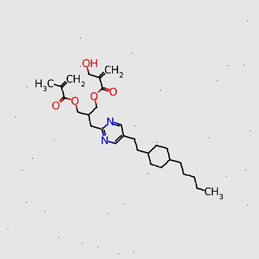 C=C(C)C(=O)OCC(COC(=O)C(=C)CO)Cc1ncc(CCC2CCC(CCCCC)CC2)cn1